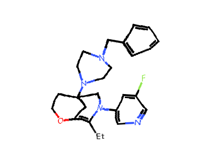 CCC1=C2CC(N3CCN(Cc4ccccc4)CC3)(CCO2)CN1c1cncc(F)c1